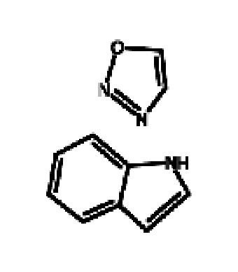 c1ccc2[nH]ccc2c1.c1conn1